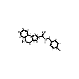 Cc1ccc(CNC(=O)c2cc3c(s2)-c2ccccc2BC3)cc1